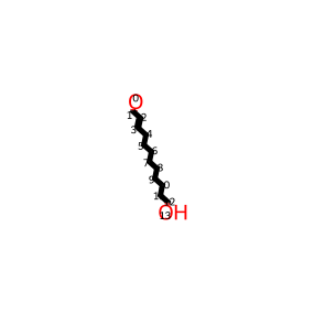 O=C/C=C/CCCCCCCCCO